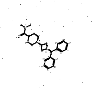 CN(C)C(=O)C1CCN(C2CN(C(c3ccccc3)c3ccccc3)C2)CC1